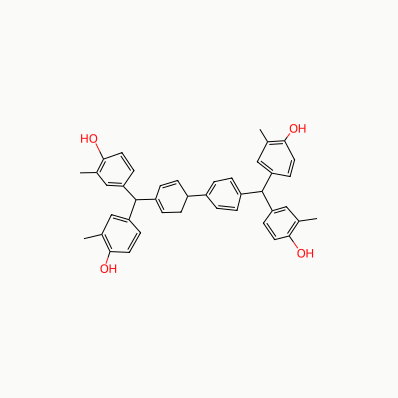 Cc1cc(C(C2=CCC(c3ccc(C(c4ccc(O)c(C)c4)c4ccc(O)c(C)c4)cc3)C=C2)c2ccc(O)c(C)c2)ccc1O